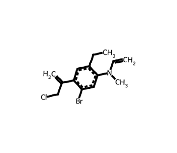 C=CN(C)c1cc(Br)c(C(=C)CCl)cc1CC